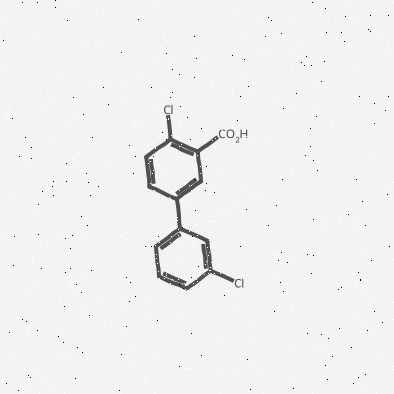 O=C(O)c1cc(-c2cccc(Cl)c2)ccc1Cl